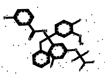 CC(C)Oc1cc(C(Cc2ccccc2)(NC(=O)c2cccc(F)c2)c2cc(F)cc(OC(F)(F)C(F)F)c2)ccc1F